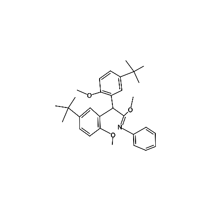 COC(=Nc1ccccc1)C(c1cc(C(C)(C)C)ccc1OC)c1cc(C(C)(C)C)ccc1OC